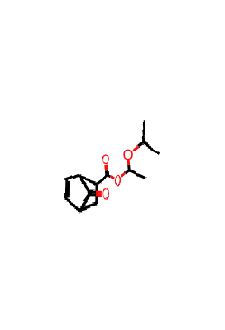 CC(C)OC(C)OC(=O)C1CC2C=CC1C2=O